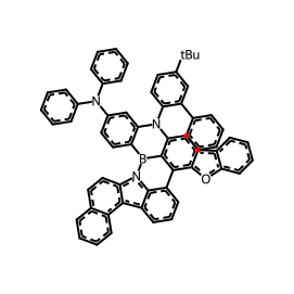 CC(C)(C)c1ccc(N2c3cc(N(c4ccccc4)c4ccccc4)ccc3B3c4c2cc2c(oc5ccccc52)c4-c2cccc4c5c6ccccc6ccc5n3c24)c(-c2ccccc2)c1